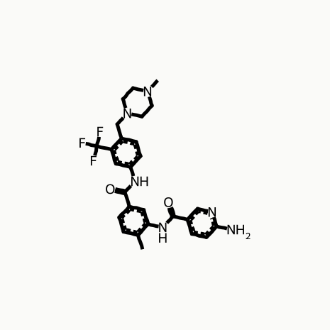 Cc1ccc(C(=O)Nc2ccc(CN3CCN(C)CC3)c(C(F)(F)F)c2)cc1NC(=O)c1ccc(N)nc1